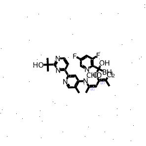 BC(O)(OC(/C=C(/C)N(C=O)c1cc(-c2ccnc(C(C)(C)O)n2)ncc1C)=C(/C)Cl)c1ncc(F)cc1F